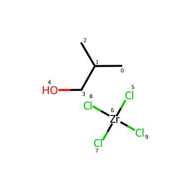 CC(C)CO.[Cl][Zr]([Cl])([Cl])[Cl]